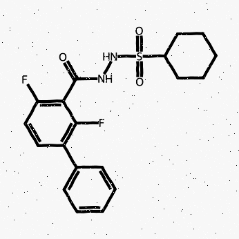 O=C(NNS(=O)(=O)C1CCCCC1)c1c(F)ccc(-c2ccccc2)c1F